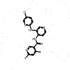 Cc1cc(F)ncc1C(=O)Nc1ccncc1Nc1ccc(Cl)cn1